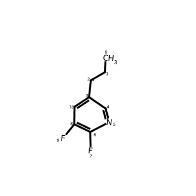 CC[CH]c1cnc(F)c(F)c1